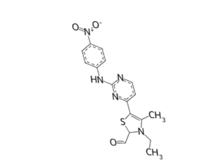 CCN1C(C)=C(c2ccnc(Nc3ccc([N+](=O)[O-])cc3)n2)SC1C=O